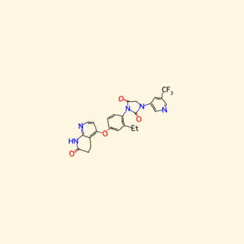 CCc1cc(Oc2ccnc3c2CCC(=O)N3)ccc1N1C(=O)CN(c2cncc(C(F)(F)F)c2)C1=O